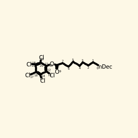 CCCCCCCCCCCCCCCCCC(=O)Oc1c(Cl)c(Cl)c(Cl)c(Cl)c1Cl